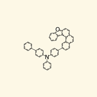 c1ccc(-c2ccc(N(c3ccccc3)c3ccc(-c4ccc5ccc6ccc7oc8ccccc8c7c6c5c4)cc3)cc2)cc1